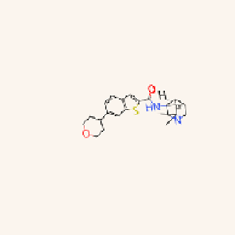 CC1(C)[C@@H](NC(=O)c2cc3ccc(C4CCOCC4)cc3s2)C2CCN1CC2